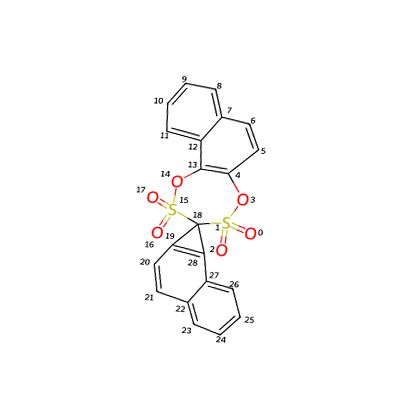 O=S1(=O)Oc2ccc3ccccc3c2OS(=O)(=O)C12c1ccc3ccccc3c12